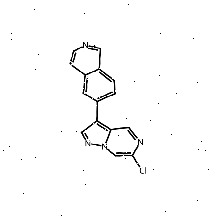 Clc1cn2ncc(-c3ccc4cnccc4c3)c2cn1